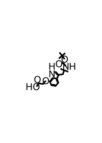 CC(C)(Cc1c[nH]c2c(OCC(=O)O)cccc12)NC(=O)OC(C)(C)C